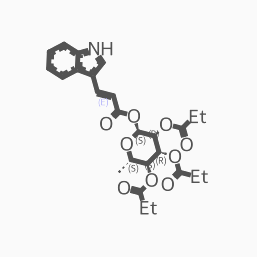 CCC(=O)O[C@@H]1[C@@H](OC(=O)CC)[C@H](C)O[C@@H](OC(=O)/C=C/c2c[nH]c3ccccc23)[C@@H]1OC(=O)CC